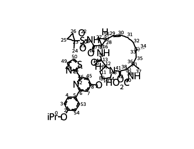 CC(C)Oc1ccc(-c2cc(O[C@@H]3C[C@H]4C(=O)N[C@]5(C(=O)NS(=O)(=O)C6(C)CC6)C[C@H]5C=CCC[C@H](C)C[C@@H](C)[C@H](NC(=O)O)C(=O)N4C3)cc(-c3nccs3)n2)cc1